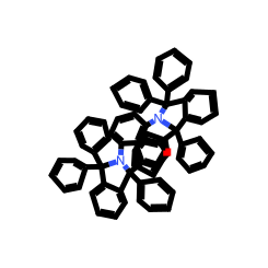 c1ccc(C2(c3ccccc3)c3ccccc3C(c3ccccc3)(c3ccccc3)N2c2cccc(N3C(c4ccccc4)(c4ccccc4)c4ccccc4C3(c3ccccc3)c3ccccc3)c2)cc1